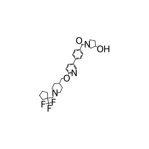 O=C(c1ccc(-c2ccc(OCC3CCN(CC4(C(F)(F)F)CCCC4)CC3)nc2)cc1)N1CCC(O)C1